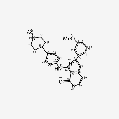 COc1cncc(-c2cc3c(c(Nc4ccc(C5CCN(C(C)=O)CC5)cc4)n2)C(=O)[N]C=C3)c1